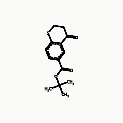 CC(C)(C)OC(=O)c1ccc2c(c1)C(=O)CCS2